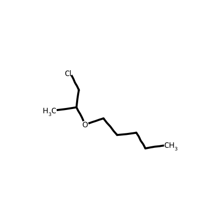 CCCCCOC(C)CCl